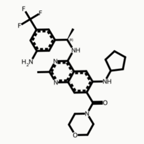 Cc1nc(N[C@H](C)c2cc(N)cc(C(F)(F)F)c2)c2cc(NC3CCCC3)c(C(=O)N3CCOCC3)cc2n1